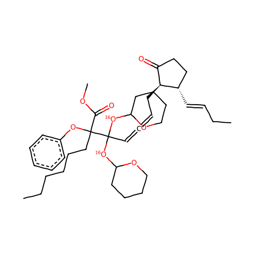 CC/C=C/[C@H]1CCC(=O)[C@@H]1CC=C=CC([16O]C1CCCCO1)([16O]C1CCCCO1)C(CCCCCC)(Oc1ccccc1)C(=O)OC